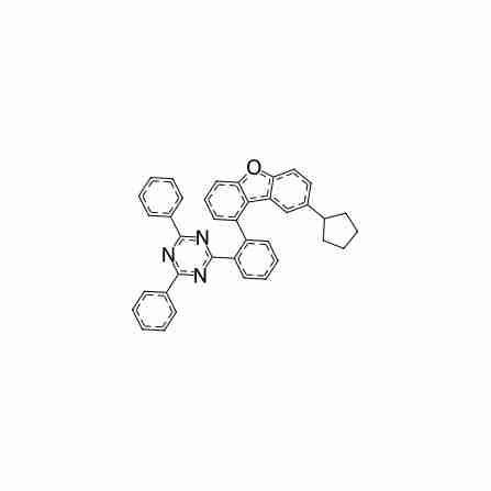 c1ccc(-c2nc(-c3ccccc3)nc(-c3ccccc3-c3cccc4oc5ccc(C6CCCC6)cc5c34)n2)cc1